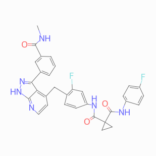 CNC(=O)c1cccc(-c2n[nH]c3nccc(Cc4ccc(NC(=O)C5(C(=O)Nc6ccc(F)cc6)CC5)cc4F)c23)c1